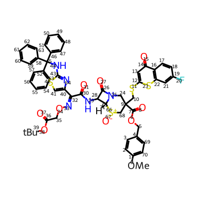 COc1ccc(COC(=O)C2(CSc3cc(=O)c4ccc(F)cc4s3)CN3C(=O)C(NC(=O)C(=NOCC(=O)OC(C)(C)C)c4csc(NC(c5ccccc5)(c5ccccc5)c5ccccc5)n4)[C@H]3[S+]([O-])C2)cc1